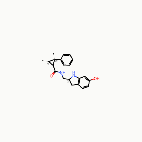 C[C@H]1C(C(=O)NC[C@@H]2Cc3ccc(O)cc3N2)[C@]1(C)c1ccccc1